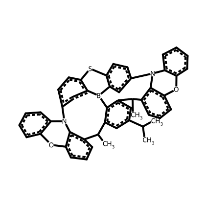 CC(C)c1cc2c3c(c1)C(C)c1cccc4c1N(c1ccc5c(c1)B3c1cc(ccc1S5)N1c3ccccc3Oc3cccc(c31)C2C)c1ccccc1O4